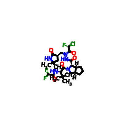 CC1(C)C[C@H](CN(NC(=O)[C@@H]2[C@H]3CCC[C@H]3CN2C(=O)[C@@H](NC(=O)C(F)F)C(C)(C)C)C(=O)[C@H](F)Cl)C(=O)N1